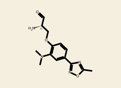 Cc1nc(-c2ccc(OC[C@H](N)C=O)c(N(C)C)c2)no1